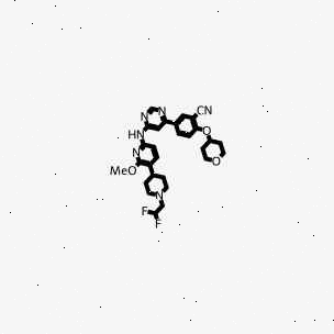 COc1nc(Nc2cc(-c3ccc(OC4CCOCC4)c(C#N)c3)ncn2)ccc1C1CCN(CC(F)F)CC1